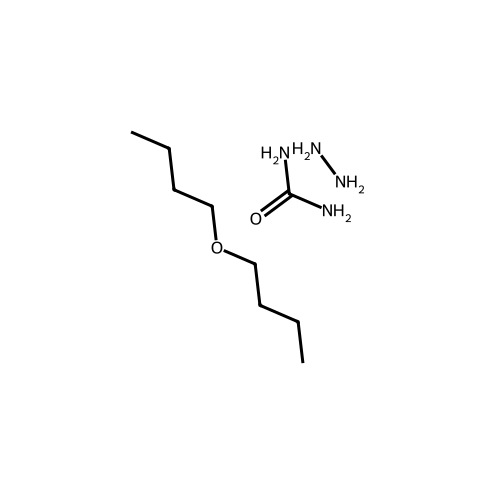 CCCCOCCCC.NC(N)=O.NN